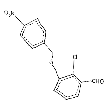 O=Cc1cccc(OCc2ccc([N+](=O)[O-])cc2)c1Cl